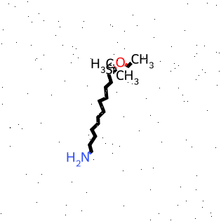 CCO[Si](C)(C)CCCCCCCCCCCCN